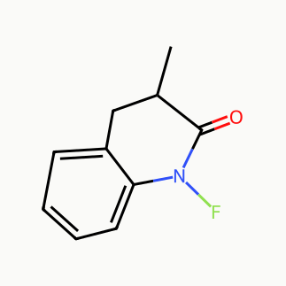 CC1Cc2ccccc2N(F)C1=O